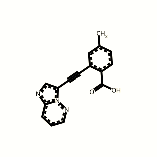 Cc1ccc(C(=O)O)c(C#Cc2cnc3cccnn23)c1